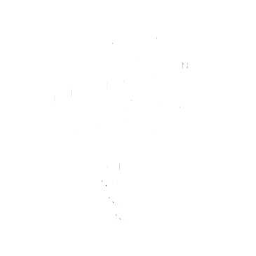 CC(=O)O.CC(=O)O.CC(=O)O.CC(=O)O.O=P([O-])([O-])OP(=O)([O-])[O-].[Na+].[Na+].[Na+].[Na+]